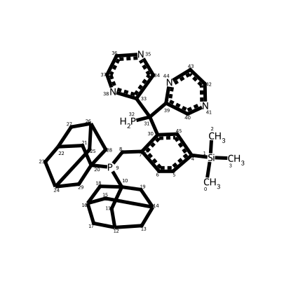 C[Si](C)(C)c1ccc(CP(C23CC4CC(CC(C4)C2)C3)C23CC4CC(CC(C4)C2)C3)c(C(P)(c2cnccn2)c2cnccn2)c1